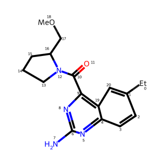 CCc1ccc2nc(N)nc(C(=O)N3CCCC3COC)c2c1